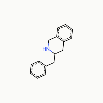 c1ccc(CC2Cc3ccccc3CN2)cc1